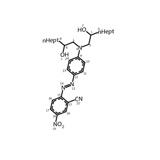 CCCCCCCC(O)CN(CC(O)CCCCCCC)c1ccc(/N=N/c2ccc([N+](=O)[O-])cc2C#N)cc1